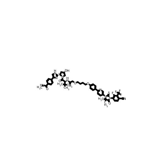 CNC(=O)c1ccc(-c2c[nH]c([C@@H]3C[C@@H](O)CN3C(=O)[C@@H](NC(=O)COCCCCOc3ccc(-c4ccc(N5C(=S)N(c6ccc(C#N)c(C(F)(F)F)c6F)C(=O)C5(C)C)cn4)cc3)C(C)(C)C)n2)cc1